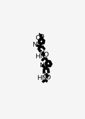 CC(C)NC(=O)N1CCC(C#N)(c2cccc(CC(C)NC(=O)N3CCC(C#N)(c4ccc5c(c4)OCO5)CC3)c2)CC1